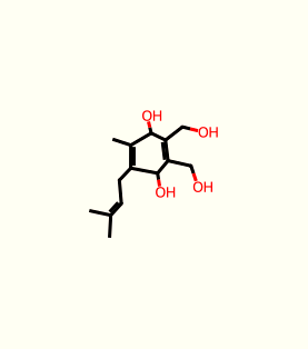 CC(C)=CCC1=C(C)C(O)C(CO)=C(CO)C1O